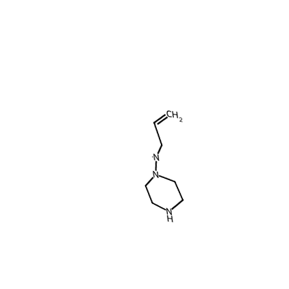 C=CC[N]N1CCNCC1